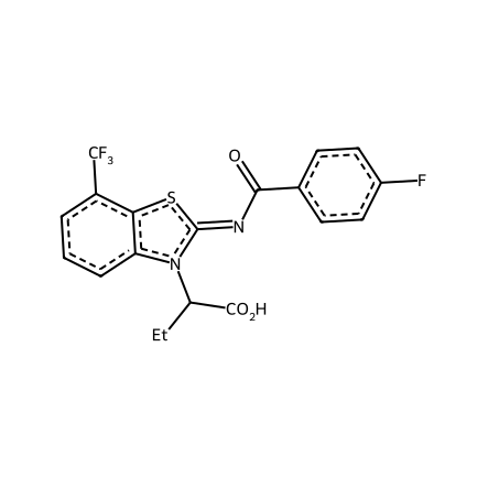 CCC(C(=O)O)n1c(=NC(=O)c2ccc(F)cc2)sc2c(C(F)(F)F)cccc21